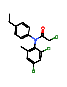 CCc1ccc(N(C(=O)CCl)c2c(C)cc(Cl)cc2Cl)cc1